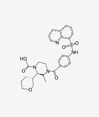 CC1[C@@H]([C@H]2CCCOC2)N(C(=O)O)CCN1C(=O)c1ccc(NS(=O)(=O)c2cccc3cccnc23)cc1